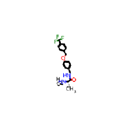 CCN[C@@H](CC)C(=O)NCc1ccc(OCc2ccc(C(F)(F)F)cc2)cc1